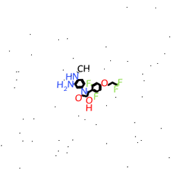 C#CNc1ccc(N2C(=O)C(O)C2c2c(F)cc(OCCC(F)F)cc2F)cc1N